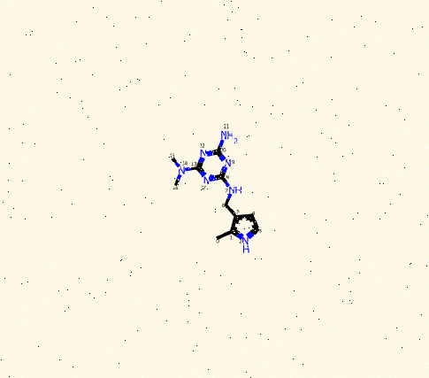 Cc1[nH]ccc1CNc1nc(N)nc(N(C)C)n1